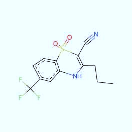 CCCC1=C(C#N)S(=O)(=O)c2ccc(C(F)(F)F)cc2N1